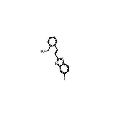 OCc1ccccc1C=Cc1nc2cc(F)ccc2s1